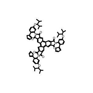 CC(C)C(Oc1ccc(C2=CC=CC2)c(-n2c(=O)c3cc4c5cc6c(=O)n(-c7cc(OC(C(C)C)C(C)C)ccc7C7=CC=CC7)c(=O)c6cc5c5cc6c(=O)n(-c7cc(OC(C(C)C)C(C)C)ccc7C7=CC=CC7)c(=O)c6cc5c4cc3c2=O)c1)C(C)C